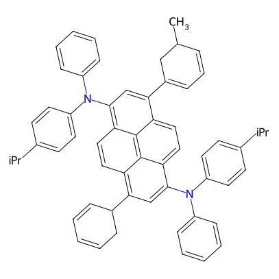 CC1C=CC=C(c2cc(N(c3ccccc3)c3ccc(C(C)C)cc3)c3ccc4c(C5C=CC=CC5)cc(N(c5ccccc5)c5ccc(C(C)C)cc5)c5ccc2c3c45)C1